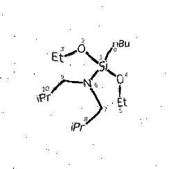 CCCC[Si](OCC)(OCC)N(CC(C)C)CC(C)C